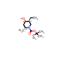 CC[C@H]1CN(C(=O)OC(C)(C)C)[C@H](C)C[C@H]1O